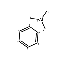 [CH3][Al]([CH3])[CH3].c1ccccc1